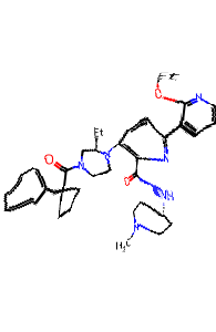 CCOc1ncccc1-c1ccc(N2CCN(C(=O)C3(c4ccccc4)CCC3)C[C@H]2CC)c(C(=O)N[C@@H]2CCN(C)C2)n1